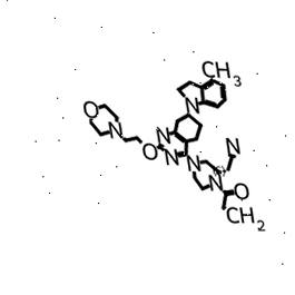 C=CC(=O)N1CCN(c2nc(OCCN3CCOCC3)nc3c2CCC(N2CCc4c(C)cccc42)C3)C[C@@H]1CC#N